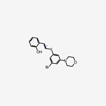 Oc1ccccc1/C=C/Sc1cc(Br)cc(N2CCOCC2)c1